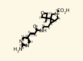 CC1(C23CN(C(=O)O)CC2C3CCNC(=O)/C=C/c2cnc(N)nc2)COC1